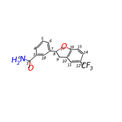 NC(=O)c1cccc(C2Cc3cc(C(F)(F)F)ccc3O2)c1